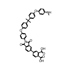 CNc1ccc(Oc2ccc(C(C)(C)c3ccc(Oc4ccc(N5C(=O)c6ccc(-c7ccc(C(=O)O)c(C(=O)O)c7)cc6C5=O)cc4)cc3)cc2)cc1